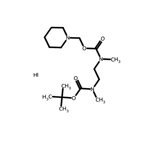 CN(CCN(C)C(=O)OC(C)(C)C)C(=O)OCN1CCCCC1.I